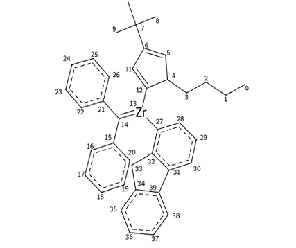 CCCCC1C=C(C(C)(C)C)C=[C]1[Zr](=[C](c1ccccc1)c1ccccc1)[c]1cccc2c1Cc1ccccc1-2